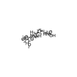 COc1ccc(S(C)(=O)=O)c(CC(=O)Nc2cc([C@H]3CC[C@H](CCCNC(=O)O)C3)[nH]n2)c1